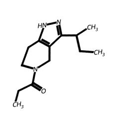 CCC(=O)N1CCc2[nH]nc(C(C)CC)c2C1